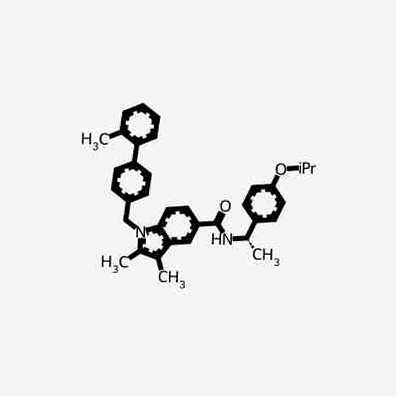 Cc1ccccc1-c1ccc(Cn2c(C)c(C)c3cc(C(=O)N[C@@H](C)c4ccc(OC(C)C)cc4)ccc32)cc1